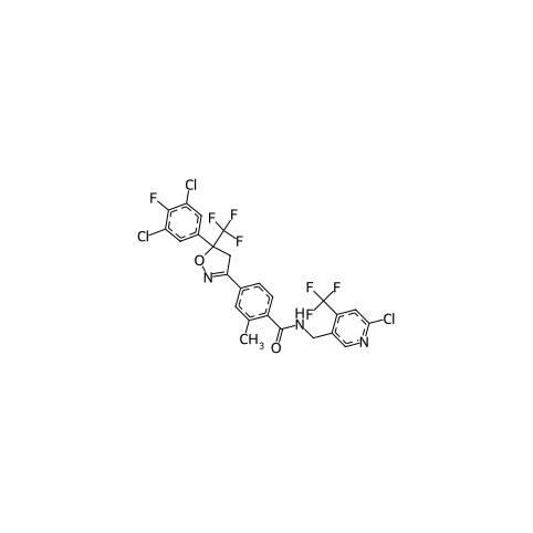 Cc1cc(C2=NOC(c3cc(Cl)c(F)c(Cl)c3)(C(F)(F)F)C2)ccc1C(=O)NCc1cnc(Cl)cc1C(F)(F)F